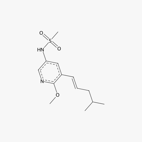 COc1ncc(NS(C)(=O)=O)cc1C=CCC(C)C